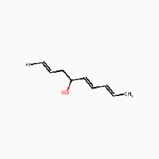 CC=CC=CC(O)CC=CCC